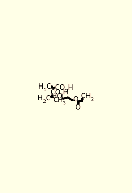 C=C(C)C(=O)O.C=CC(=O)O.C=CC(=O)OCCCO